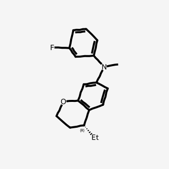 CC[C@@H]1CCOc2cc(N(C)c3cccc(F)c3)ccc21